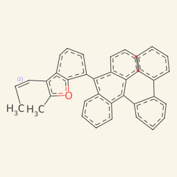 C/C=C\c1c(C)oc2c(-c3c4ccccc4c(-c4ccccc4-c4ccccc4)c4ccccc34)cccc12